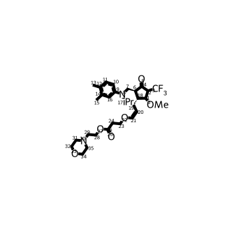 COC1C(C(F)(F)F)C(=O)[C@H](CN(c2ccc(C)c(C)c2)C(C)C)[C@H]1C/C=C\OCCC(=O)OCCN1CCOCC1